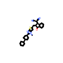 Cn1c(-c2ccc(-c3ccccc3)cc2)nc2sc(/C=C3\C(=O)c4ccccc4C3=C(C#N)C#N)cc21